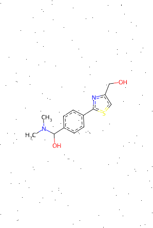 CN(C)C(O)c1ccc(-c2nc(CO)cs2)cc1